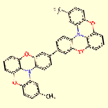 Cc1ccc2c(c1)N1c3ccc(-c4ccc5c(c4)Oc4cccc6c4N5c4cc(C(F)(F)F)ccc4O6)cc3Oc3cccc(c31)O2